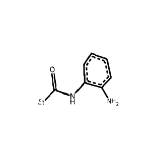 CCC(=O)Nc1ccccc1N